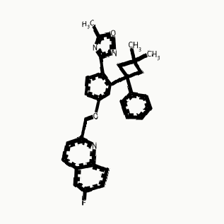 Cc1nc(-c2ccc(OCc3ccc4cc(F)ccc4n3)cc2C2(c3ccccc3)CC(C)(C)C2)no1